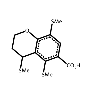 CSc1cc(C(=O)O)c(SC)c2c1OCCC2SC